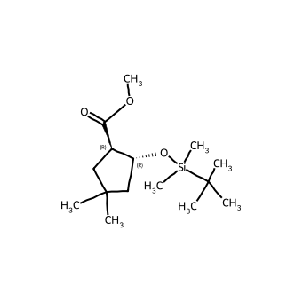 COC(=O)[C@@H]1CC(C)(C)C[C@H]1O[Si](C)(C)C(C)(C)C